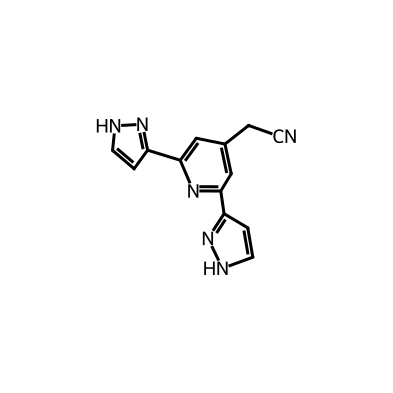 N#CCc1cc(-c2cc[nH]n2)nc(-c2cc[nH]n2)c1